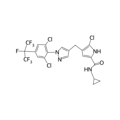 O=C(NC1CC1)c1cc(Cc2cnn(-c3c(Cl)cc(C(F)(C(F)(F)F)C(F)(F)F)cc3Cl)c2)c(Cl)[nH]1